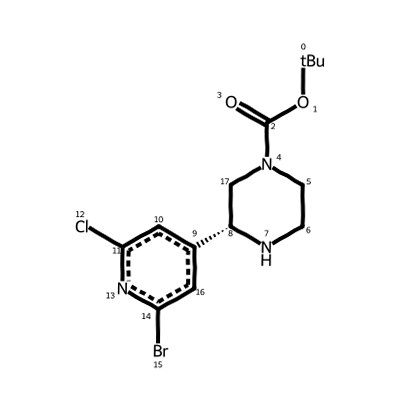 CC(C)(C)OC(=O)N1CCN[C@H](c2cc(Cl)nc(Br)c2)C1